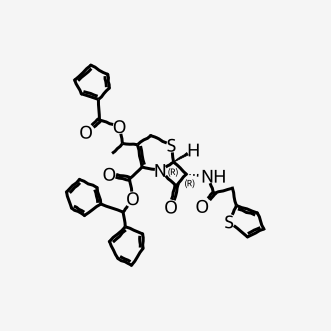 CC(OC(=O)c1ccccc1)C1=C(C(=O)OC(c2ccccc2)c2ccccc2)N2C(=O)[C@@H](NC(=O)Cc3cccs3)[C@H]2SC1